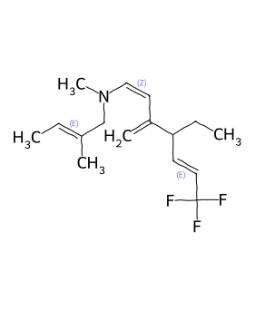 C=C(/C=C\N(C)C/C(C)=C/C)C(/C=C/C(F)(F)F)CC